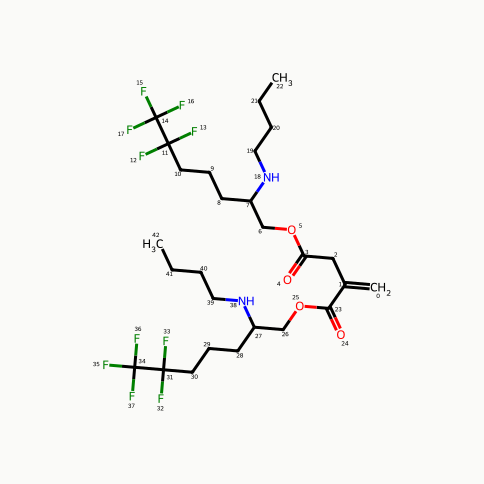 C=C(CC(=O)OCC(CCCC(F)(F)C(F)(F)F)NCCCC)C(=O)OCC(CCCC(F)(F)C(F)(F)F)NCCCC